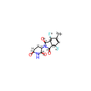 [2H]c1cc(F)c2c(c1F)C(=O)N(C1CCC(=O)NC1=O)C2=O